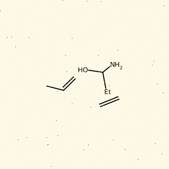 C=C.C=CC.CCC(N)O